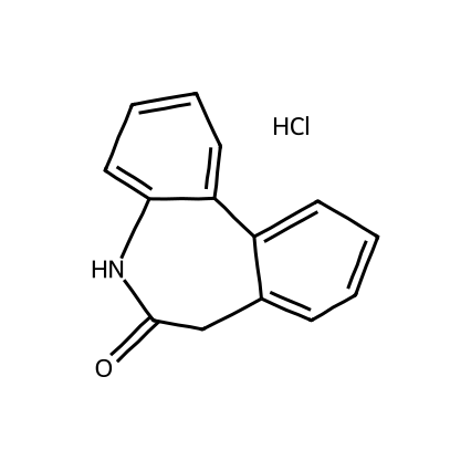 Cl.O=C1Cc2ccccc2-c2ccccc2N1